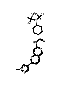 [2H]C([2H])([2H])N([C@H]1CC[C@H](C(=O)Nc2cc3nc(-c4cnn(C)c4)ccc3cn2)CC1)C([2H])([2H])[2H]